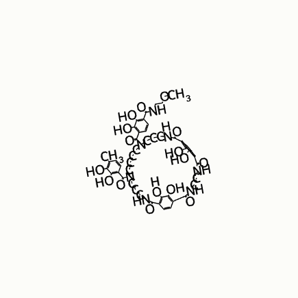 COCCNC(=O)c1ccc(C(=O)N2CCCCN(C(=O)c3ccc(C)c(O)c3O)CCCNC(=O)c3ccc(c(O)c3O)C(=O)NCCNC(=O)c3ccc(c(O)c3O)C(=O)NCCC2)c(O)c1O